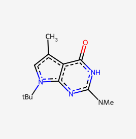 CNc1nc2c(c(C)cn2C(C)(C)C)c(=O)[nH]1